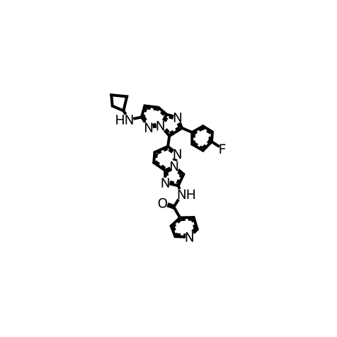 O=C(Nc1cn2nc(-c3c(-c4ccc(F)cc4)nc4ccc(NC5CCC5)nn34)ccc2n1)c1ccncc1